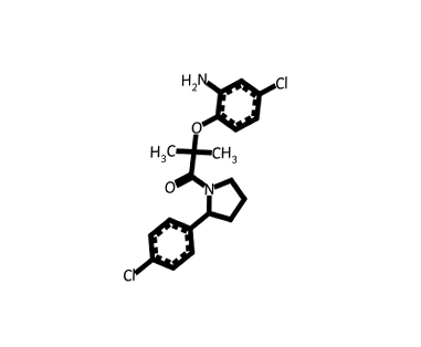 CC(C)(Oc1ccc(Cl)cc1N)C(=O)N1CCCC1c1ccc(Cl)cc1